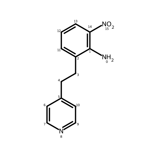 Nc1c(CCc2ccncc2)cccc1[N+](=O)[O-]